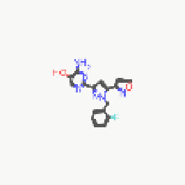 Nc1nc(-c2cc(-c3ccon3)n(Cc3ccccc3F)n2)ncc1O